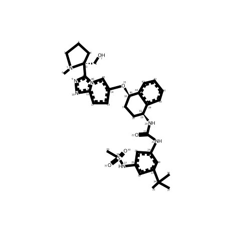 CN1CCC[C@@]1(CO)c1nnc2ccc(O[C@@H]3CC[C@H](NC(=O)Nc4cc(NS(C)(=O)=O)cc(C(C)(C)C)c4)c4ccccc43)cn12